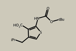 CC(C)Cc1csc(NC(=O)OC(C)(C)C)c1C(=O)O